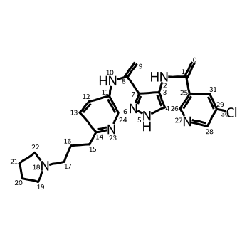 C=C(Nc1c[nH]nc1C(=C)Nc1ccc(CCCN2CCCC2)nc1)c1cncc(Cl)c1